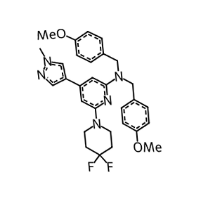 COc1ccc(CN(Cc2ccc(OC)cc2)c2cc(-c3cnn(C)c3)cc(N3CCC(F)(F)CC3)n2)cc1